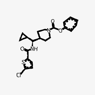 O=C(N[C@@H](C1CC1)C1CCN(C(=O)Oc2ccccc2)CC1)c1ccc(Cl)s1